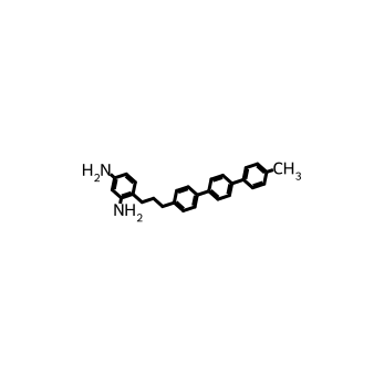 Cc1ccc(-c2ccc(-c3ccc(CCCc4ccc(N)cc4N)cc3)cc2)cc1